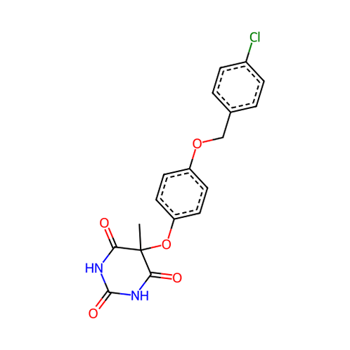 CC1(Oc2ccc(OCc3ccc(Cl)cc3)cc2)C(=O)NC(=O)NC1=O